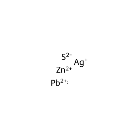 [Ag+].[Pb+2].[S-2].[Zn+2]